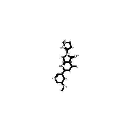 COC1CN=CC(C2CC(C)C3C(=O)N(C4=NNCC4)CC3=N2)C1